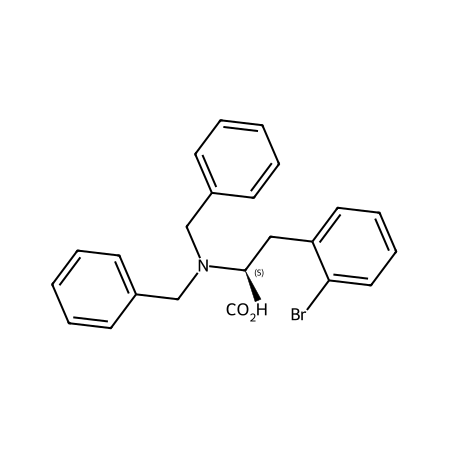 O=C(O)[C@H](Cc1ccccc1Br)N(Cc1ccccc1)Cc1ccccc1